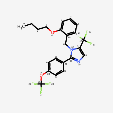 CCCCOc1ccccc1Cn1c(C(F)(F)F)cnc1-c1ccc(OC(F)(F)F)cc1